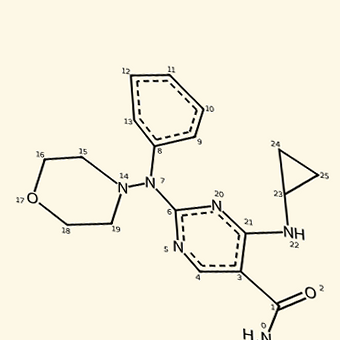 NC(=O)c1cnc(N(c2ccccc2)N2CCOCC2)nc1NC1CC1